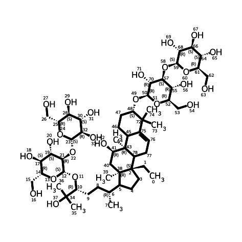 CC[C@@]12CCC([C@H](C)CC[C@@H](O[C@@H]3O[C@H](CO)[C@@H](O)[C@H](O)[C@H]3O[C@@H]3O[C@H](CO)[C@@H](O)[C@H](O)[C@H]3O)C(C)(C)O)[C@@]1(C)C[C@@H](O)[C@@]1(C)C3CC[C@H](O[C@@H]4O[C@H](CO)[C@@H](O)[C@H](O[C@@H]5O[C@H](CO)[C@@H](O)[C@H](O)[C@H]5O)[C@H]4O)C(C)(C)C3=CCC12